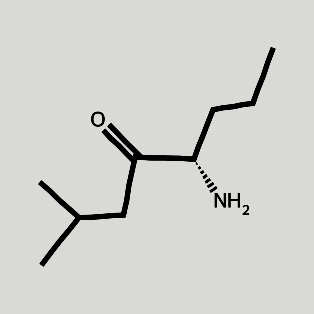 CCC[C@H](N)C(=O)CC(C)C